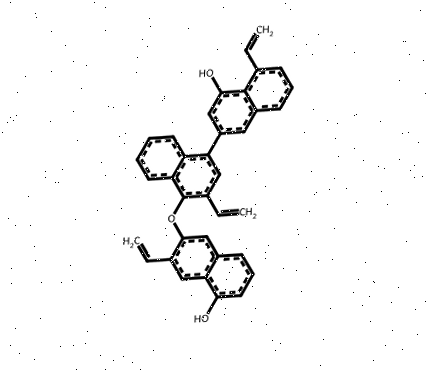 C=Cc1cc2c(O)cccc2cc1Oc1c(C=C)cc(-c2cc(O)c3c(C=C)cccc3c2)c2ccccc12